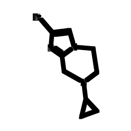 CCc1cn2c(n1)CN(C1CC1)CC2